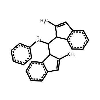 CC1=Cc2ccccc2C1C([SiH2]c1ccccc1)C1C(C)=Cc2ccccc21